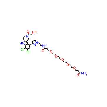 NC(=O)CCOCCOCCOCCOCCOCCC(=O)NCCn1ccc(-c2cc(Cl)c(Cl)c3[nH]c4c(c23)CN(C(=O)CO)CC4)n1